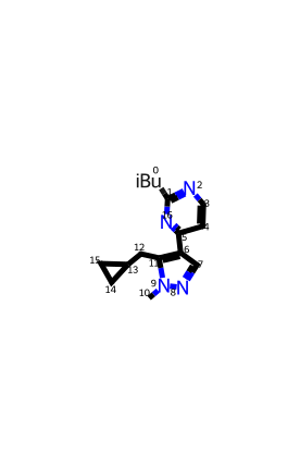 CCC(C)c1nccc(-c2cnn(C)c2CC2CC2)n1